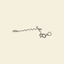 C=C(CCCCCCCCCCCCCCCCCCCCC)NCCc1csc2ccc(N3CCCCC3)cc12